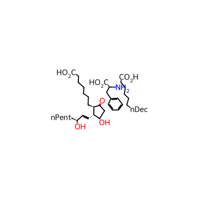 CCCCCCCCCCCCCCCC(=O)O.CCCCC[C@H](O)/C=C/[C@H]1[C@H](O)CC(=O)[C@@H]1CCCCCCC(=O)O.N[C@@H](Cc1ccccc1)C(=O)O